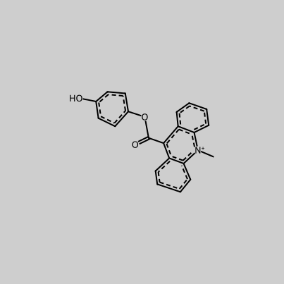 C[n+]1c2ccccc2c(C(=O)Oc2ccc(O)cc2)c2ccccc21